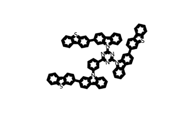 c1cc(-c2nc(-n3c4ccccc4c4ccc(-c5ccc6c(c5)sc5ccccc56)cc43)nc(-n3c4ccccc4c4ccc(-c5ccc6c(c5)sc5ccccc56)cc43)n2)cc(-n2c3ccccc3c3ccc(-c4ccc5c(c4)sc4ccccc45)cc32)c1